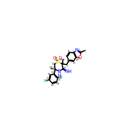 Cc1nc2ccc(CC3(C)C(=N)N[C@](C)(c4cc(F)ccc4F)CS3(=O)=O)cc2o1